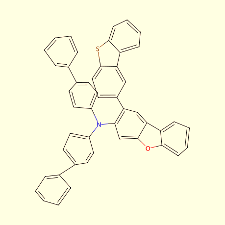 c1ccc(-c2ccc(N(c3ccc(-c4ccccc4)cc3)c3cc4oc5ccccc5c4cc3-c3ccc4sc5ccccc5c4c3)cc2)cc1